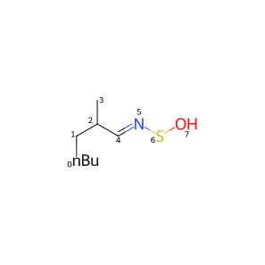 CCCCCC(C)C=NSO